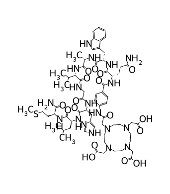 CSCC[C@H](NC(=O)[C@H](CC(C)C)NC(=O)[C@H](Cc1c[nH]cn1)NC(=O)CNC(=O)[C@@H](NC(=O)[C@H](C)NC(=O)[C@H](Cc1c[nH]c2ccccc12)NC(=O)[C@H](CCC(N)=O)NC(=O)c1ccc(NC(=O)CN2CCN(CC(=O)O)CCN(CC(=O)O)CCN(CC(=O)O)CC2)cc1)C(C)C)C(N)=O